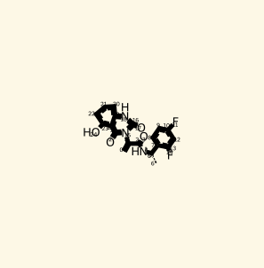 C=C(C(=O)N[C@@H](C)c1ccc(F)cc1F)n1c(=O)[nH]c2cccc(O)c2c1=O